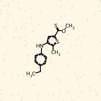 CCc1ccc(Nc2cc(C(=S)OC)sc2C)cc1